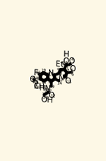 CC[C@@]1(O)C(=O)OCc2c1cc1n(c2=O)Cc2c-1nc1cc(F)c([S@+](C)[O-])cc1c2CNC(=O)CO